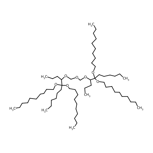 CCCCCCCCCCOC(CCCCCC)(OCCCCCCCCCC)C(CCC)OCOCOC(CCC)C(CCCCCC)(OCCCCCCCCCC)OCCCCCCCCCC